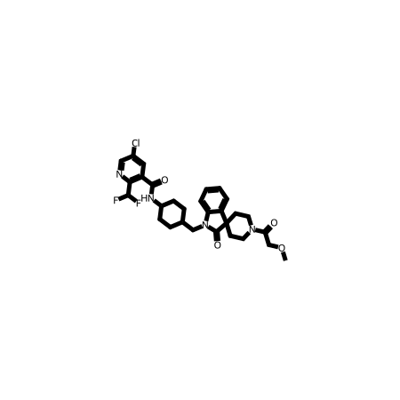 COCC(=O)N1CCC2(CC1)C(=O)N(CC1CCC(NC(=O)c3cc(Cl)cnc3C(F)F)CC1)c1ccccc12